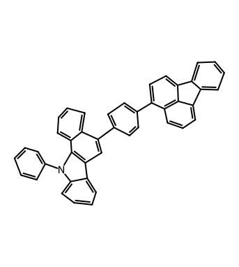 c1ccc(-n2c3ccccc3c3cc(-c4ccc(-c5ccc6c7c(cccc57)-c5ccccc5-6)cc4)c4ccccc4c32)cc1